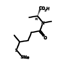 CSSC(C)CCC(=O)N(C)[C@H](C)C(=O)O